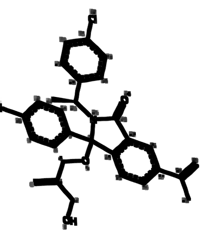 C=C(CO)COC1(c2ccc(Cl)cc2)c2ccc(C(=C)C)cc2C(=O)N1[C@@H](C)c1ccc(Cl)cc1